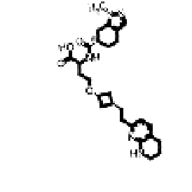 Cn1ncc2c1C[C@@H](C(=O)NC(CCO[C@H]1C[C@H](CCc3ccc4c(n3)NCCC4)C1)C(=O)O)CC2